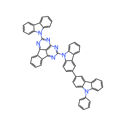 c1ccc(-n2c3ccccc3c3cc(-c4ccc5c(c4)c4ccccc4n5-c4nc5c6c(nc(-n7c8ccccc8c8ccccc87)nc6n4)-c4ccccc4-5)ccc32)cc1